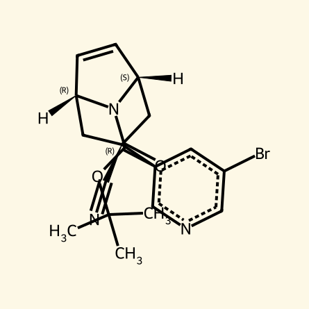 CC(C)(C)OC(=O)N1[C@@H]2C=C[C@H]1C[C@@](C#N)(c1cncc(Br)c1)C2